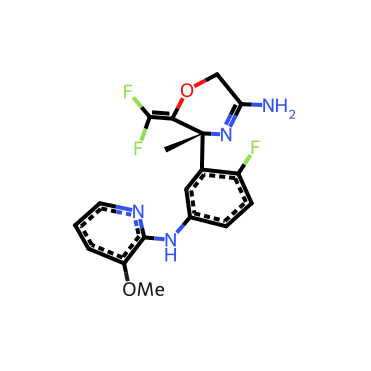 COc1cccnc1Nc1ccc(F)c([C@@]2(C)N=C(N)COC2=C(F)F)c1